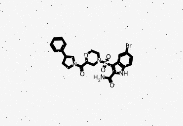 NC(=O)c1[nH]c2ccc(Br)cc2c1S(=O)(=O)N1CCOC(C(=O)N2CCC(c3ccccc3)C2)C1